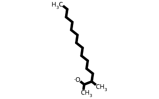 CCCCCCCCCCCCC(C)C(C)[O]